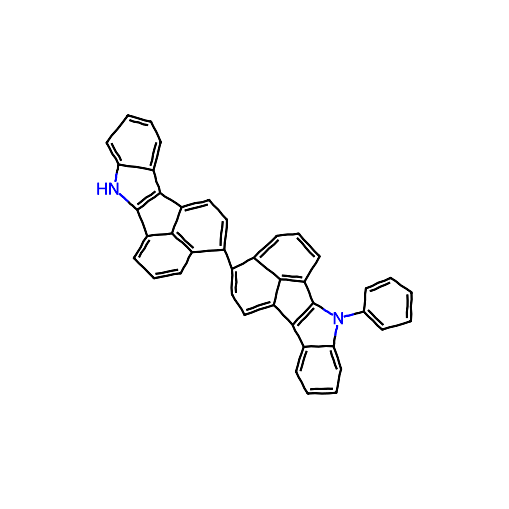 c1ccc(-n2c3c(c4ccccc42)-c2ccc(-c4ccc5c6c(cccc46)-c4[nH]c6ccccc6c4-5)c4cccc-3c24)cc1